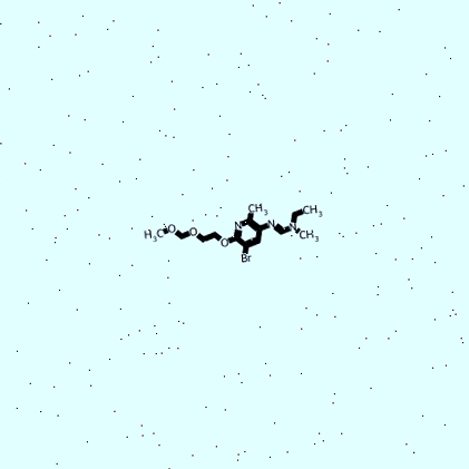 CCN(C)/C=N/c1cc(Br)c(OCCOCOC)nc1C